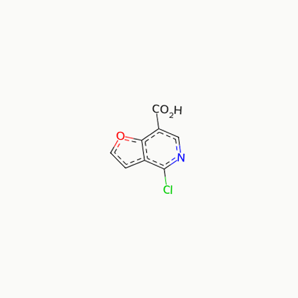 O=C(O)c1cnc(Cl)c2ccoc12